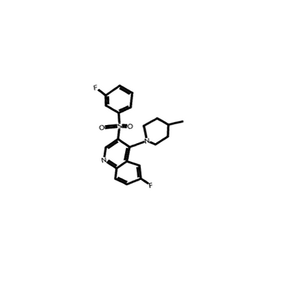 CC1CCN(c2c(S(=O)(=O)c3cccc(F)c3)cnc3ccc(F)cc23)CC1